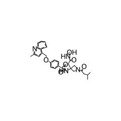 Cc1cc(COc2ccc(S(=O)(=O)NC3(CC(=O)NO)CN(C(=O)CC(C)C)C3)cc2)c2ccccc2n1